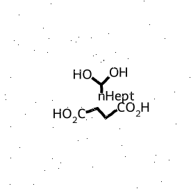 CCCCCCCC(O)O.O=C(O)CCC(=O)O